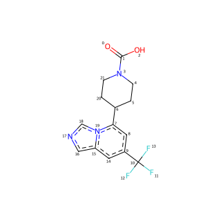 O=C(O)N1CCC(c2cc(C(F)(F)F)cc3cncn23)CC1